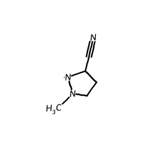 CN1CCC(C#N)[N]1